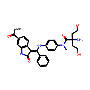 COC(=O)c1ccc2c(c1)NC(=O)C2=C(Nc1ccc(N(C)C(=O)C(N)(CCO)CCO)cc1)c1ccccc1